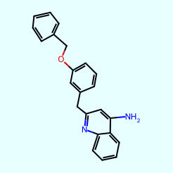 Nc1cc(Cc2cccc(OCc3ccccc3)c2)nc2ccccc12